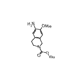 COc1cc2c(cc1N)CCN(C(=O)OC(C)(C)C)C2